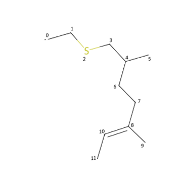 [CH2]CSCC(C)CCC(C)=CC